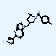 Cc1ccc(C(=O)N2CC(Cn3ccc4nc(-c5cn[nH]c5)ccc43)CC2(C)C)cc1